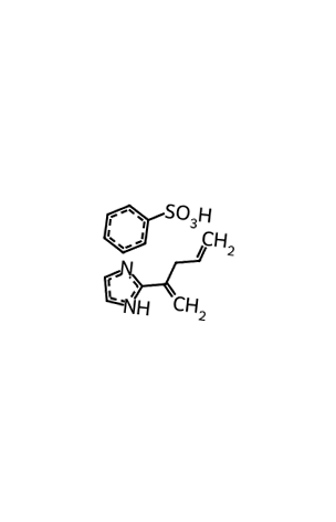 C=CCC(=C)c1ncc[nH]1.O=S(=O)(O)c1ccccc1